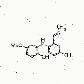 C/N=C/c1cc(C)ccc1Pc1cc(OC)ccc1O